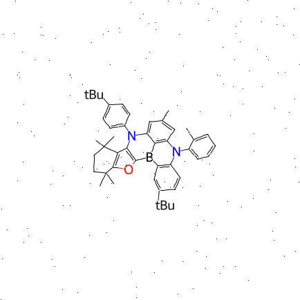 Cc1cc2c3c(c1)N(c1ccc(C(C)(C)C)cc1)c1c(oc4c1C(C)(C)CCC4(C)C)B3c1cc(C(C)(C)C)ccc1N2c1ccccc1C